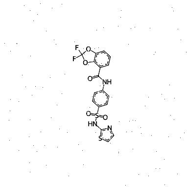 O=C(Nc1ccc(S(=O)(=O)Nc2nccs2)cc1)c1cccc2c1OC(F)(F)O2